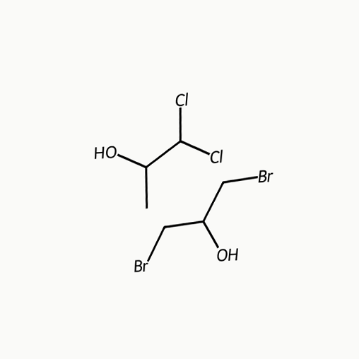 CC(O)C(Cl)Cl.OC(CBr)CBr